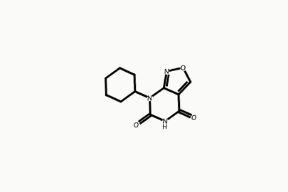 O=c1[nH]c(=O)n(C2CCCCC2)c2nocc12